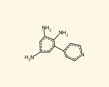 Nc1cc(N)c(N)c(-c2ccncc2)c1